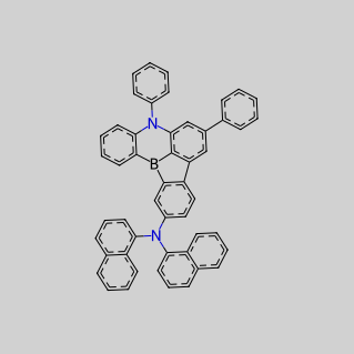 c1ccc(-c2cc3c4c(c2)N(c2ccccc2)c2ccccc2B4c2cc(N(c4cccc5ccccc45)c4cccc5ccccc45)ccc2-3)cc1